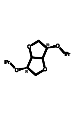 CC(C)O[C@@H]1COC2C1OC[C@H]2OC(C)C